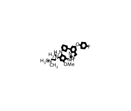 COc1cc(N(C)CCN(C)C)c(N)cc1Nc1ncc2cc(Oc3ccc(F)cc3)cc(-c3ccccc3)c2n1